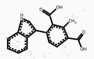 Cc1c(C(=O)O)ccc(-c2c[nH]c3ccccc23)c1C(=O)O